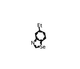 CCc1ccc2[se]cnc2c1